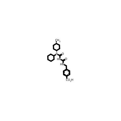 C[C@H]1CC[C@H](N(C(=O)NC(=O)NCc2ccc(C(=O)O)cc2)C2CCCCC2)CC1